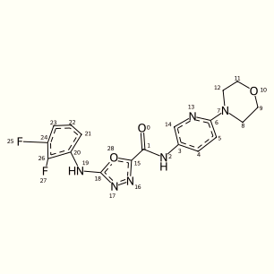 O=C(Nc1ccc(N2CCOCC2)nc1)c1nnc(Nc2cccc(F)c2F)o1